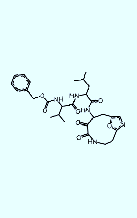 CC(C)CC(NC(=O)C(NC(=O)OCc1ccccc1)C(C)C)C(=O)NC1Cc2cnc(o2)CCNC(=O)C1=O